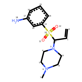 C=CC(N1CCN(C)CC1)S(=O)(=O)c1cccc(N)c1